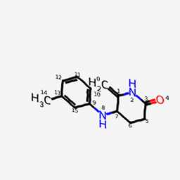 C=C1NC(=O)CCC1Nc1cccc(C)c1